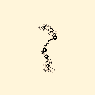 CC(C)(C)C(=O)OCN1C(=O)CCC(N2Cc3c(C#CCOCCOc4ccc5c(c4)ncn5-c4ccc(NC(=O)Nc5cc(C(C)(C)C)n[nH]5)cc4)cccc3C2=O)C1=O